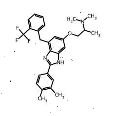 Cc1ccc(-c2nc3c(Cc4ccccc4C(F)(F)F)cc(OCC(C)N(C)C)cc3[nH]2)cc1C